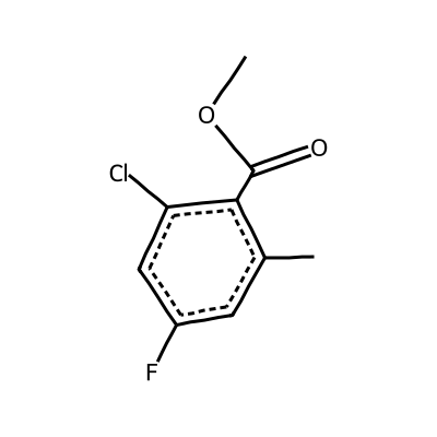 COC(=O)c1c(C)cc(F)cc1Cl